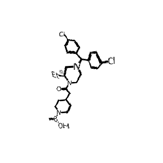 CC[C@H]1CN(C(c2ccc(Cl)cc2)c2ccc(Cl)cc2)CCN1C(=O)CC1CCN(B(C)O)CC1